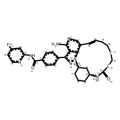 Nc1ncc2c3c1c(-c1ccc(C(=O)Nc4cc(F)ccn4)cc1)nn3[C@@H]1CCC[C@H](C1)NC(=O)CCCCC/C=C/2